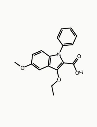 CCOc1c(C(=O)O)n(-c2ccccc2)c2ccc(OC)cc12